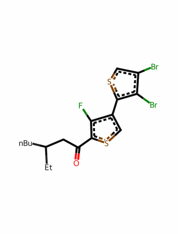 CCCCC(CC)CC(=O)c1scc(-c2scc(Br)c2Br)c1F